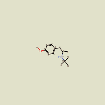 COc1ccc(CC(C)NC(C)(C)C)cc1